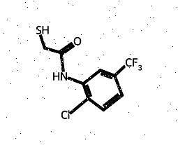 O=C(CS)Nc1cc(C(F)(F)F)ccc1Cl